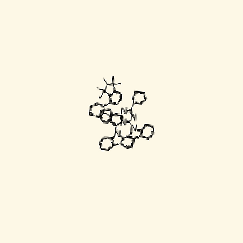 CC1C(C)(C)c2cccc(-c3ccccc3-c3cccc(-n4c5ccccc5c5ccc6c7ccccc7n(-c7nc(-c8ccccc8)nc(-c8ccccc8)n7)c6c54)c3)c2C1(C)C